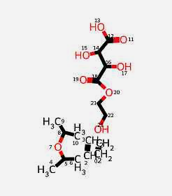 C=C.C=C.CC(C)OC(C)C.O=C(O)C(O)C(O)C(=O)OCCO